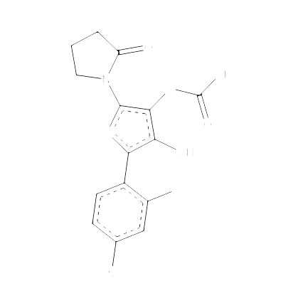 CC(=O)Oc1c(N2CCCC2=O)oc(-c2ccc(Cl)cc2F)c1O